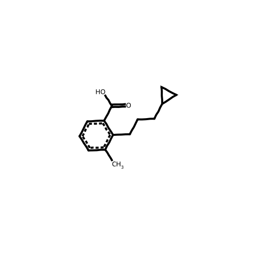 Cc1cccc(C(=O)O)c1CCCC1CC1